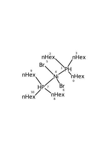 CCCCCC[PH](CCCCCC)(CCCCCC)[Ni]([Br])([Br])[PH](CCCCCC)(CCCCCC)CCCCCC